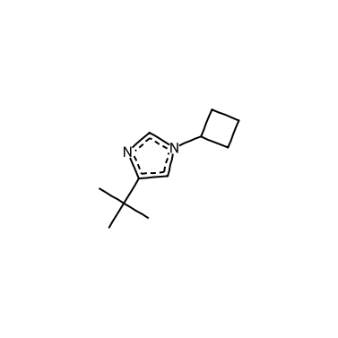 CC(C)(C)c1cn(C2CCC2)cn1